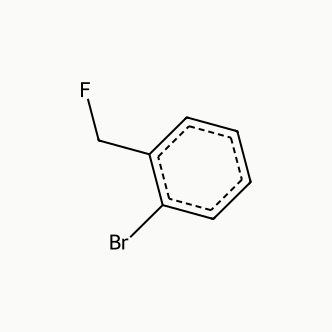 FCc1ccccc1Br